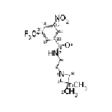 CC1(C)CN(CCNC(=O)c2cc([N+](=O)[O-])cc(C(F)(F)F)c2)C1